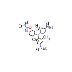 CCN(CC)c1ccc(C(c2ccc(N(CC)CC)cc2C)c2cc3oc(N(CC)CC)nc3cc2C)c(C)c1